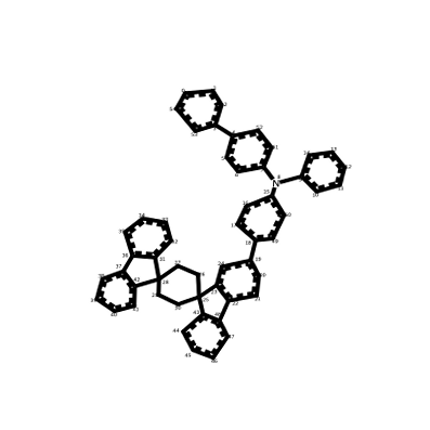 c1ccc(-c2ccc(N(c3ccccc3)c3ccc(-c4ccc5c(c4)C4(CCC6(CC4)c4ccccc4-c4ccccc46)c4ccccc4-5)cc3)cc2)cc1